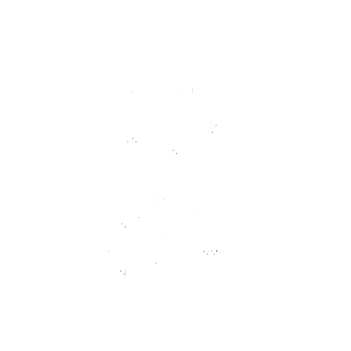 CNC(=O)c1cncnc1OCc1nc(C(C)(C)C)c(O)c(C(C)(C)C)n1